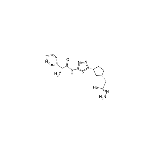 C[C@@H](C(=O)Nc1nnc([C@@H]2CC[C@H](C/C(S)=N/N)C2)s1)c1cccnc1